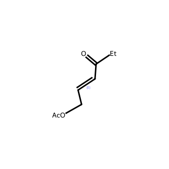 CCC(=O)/C=C/COC(C)=O